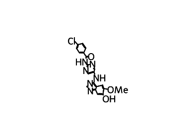 COc1cc2c(Nc3cnc(NC(=O)c4ccc(Cl)cc4)nc3)ncnc2cc1O